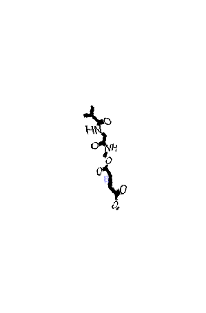 COC(=O)/C=C/C(=O)OCNC(=O)CNC(=O)C(C)C